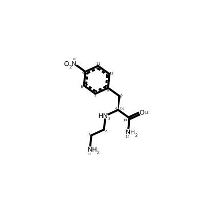 NCCN[C@@H](Cc1ccc([N+](=O)[O-])cc1)C(N)=O